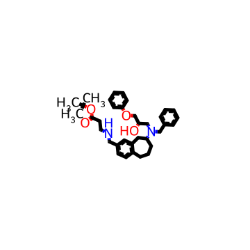 CC(C)(C)OC(=O)CCNCc1ccc2c(c1)CC(N(Cc1ccccc1)CC(O)COc1ccccc1)CCC2